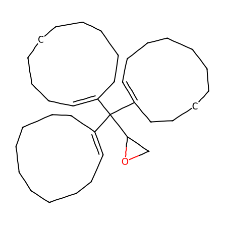 C1=C(C(C2=CCCCCCCCCC2)(C2=CCCCCCCCCC2)C2CO2)CCCCCCCCC1